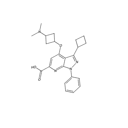 CN(C)C1CC(Oc2cc(C(=O)O)nc3c2c(C2CCC2)nn3-c2ccccc2)C1